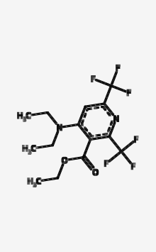 CCOC(=O)c1c(N(CC)CC)cc(C(F)(F)F)nc1C(F)(F)F